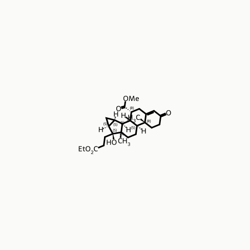 CCOC(=O)CC[C@]1(O)[C@H]2C[C@H]2[C@H]2[C@@H]3[C@H](C(=O)OC)CC4=CC(=O)CC[C@]4(C)[C@H]3CC[C@@]21C